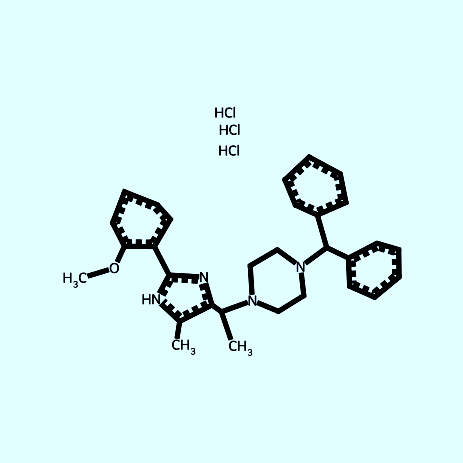 COc1ccccc1-c1nc(C(C)N2CCN(C(c3ccccc3)c3ccccc3)CC2)c(C)[nH]1.Cl.Cl.Cl